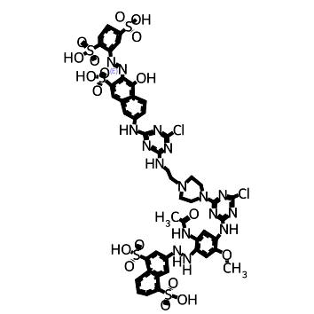 COc1cc(NNc2cc(S(=O)(=O)O)c3cccc(S(=O)(=O)O)c3c2)c(NC(C)=O)cc1Nc1nc(Cl)nc(N2CCN(CCNc3nc(Cl)nc(Nc4ccc5c(O)c(/N=N/c6cc(S(=O)(=O)O)ccc6S(=O)(=O)O)c(S(=O)(=O)O)cc5c4)n3)CC2)n1